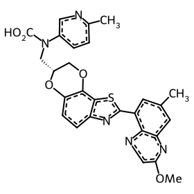 COc1cnc2c(-c3nc4ccc5c(c4s3)OC[C@@H](CN(C(=O)O)c3ccc(C)nc3)O5)cc(C)cc2n1